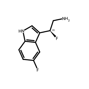 NC[C@@H](F)c1c[nH]c2ccc(F)cc12